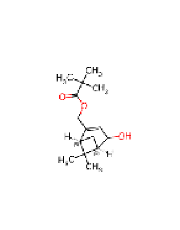 CC(C)(C)C(=O)OCC1=CC(O)[C@@H]2C[C@H]1C2(C)C